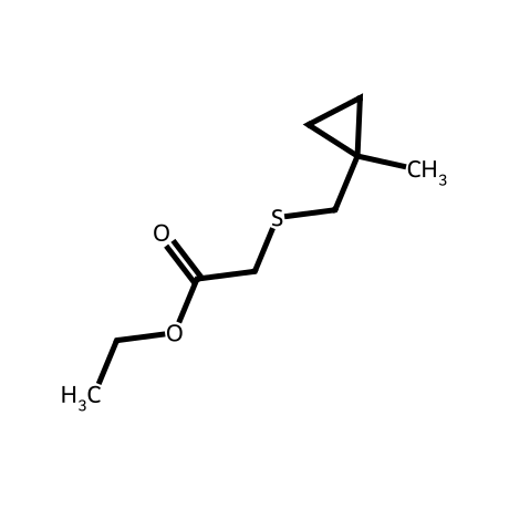 CCOC(=O)CSCC1(C)CC1